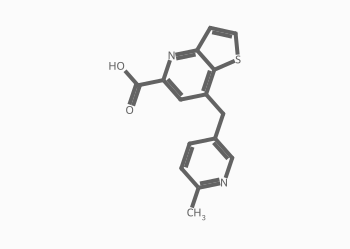 Cc1ccc(Cc2cc(C(=O)O)nc3ccsc23)cn1